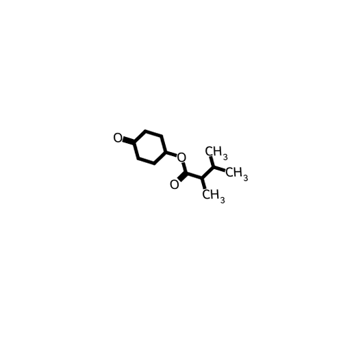 CC(C)C(C)C(=O)OC1CCC(=O)CC1